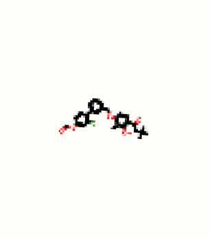 Cc1c(OCc2cccc(-c3ccc(OC=O)cc3Cl)c2)ccc(C(=O)CC(C)(C)C)c1O